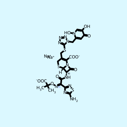 CC(C)(O/N=C(\C(=O)N[C@@H]1C(=O)N2C(C(=O)[O-])=C(CSc3nnnn3Cc3cc(=O)c(O)cn3O)CS[C@@H]12)c1nsc(N)n1)C(=O)[O-].[Na+].[Na+]